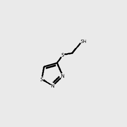 SCSc1csnn1